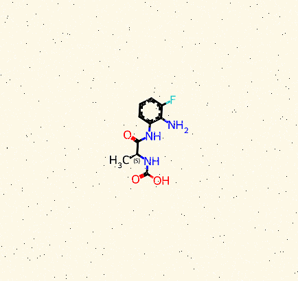 C[C@H](NC(=O)O)C(=O)Nc1cccc(F)c1N